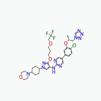 C[C@@H](Cn1cnnn1)Oc1cc(-c2cnc(Nc3cn(C4CCC(N5CCOCC5)CC4)nc3OCCCOCC(F)(F)F)nc2)ccc1Cl